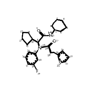 O=C(NC1CCCCC1)C(C1CCCC1)N(C(=O)Cc1cccs1)c1cccc(F)c1